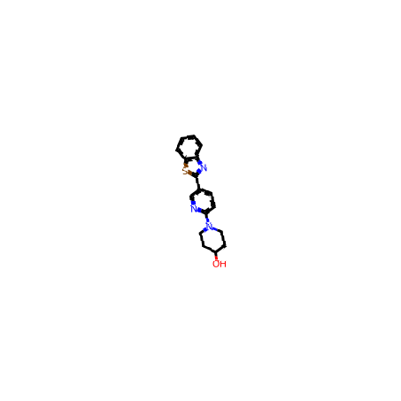 OC1CCN(c2ccc(-c3nc4ccccc4s3)cn2)CC1